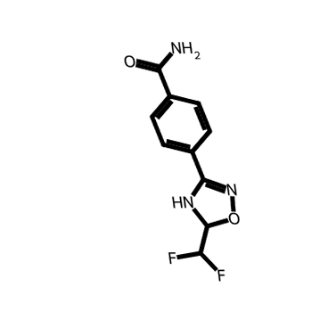 NC(=O)c1ccc(C2=NOC(C(F)F)N2)cc1